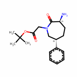 CC(C)(C)OC(=O)CN1C[C@@H](c2ccccc2)CC[C@H](N)C1=O